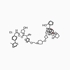 CC[C@H](NC(=O)[C@@H]1C[C@@H](O)CN1C(=O)[C@H](c1cc(OCCN2CCC(OC3CC(Oc4cc(N5C6CC[C@@H]5CN(c5cc(-c7ccccc7O)nnc5N)C6)ccn4)C3)CC2)no1)C(C)C)c1ccc(-c2scnc2C)cc1